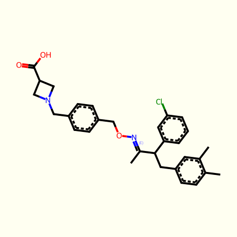 C/C(=N\OCc1ccc(CN2CC(C(=O)O)C2)cc1)C(Cc1ccc(C)c(C)c1)c1cccc(Cl)c1